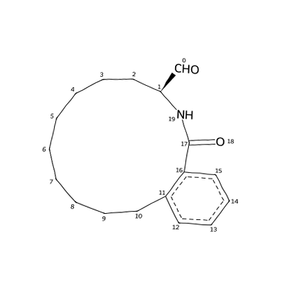 O=C[C@@H]1CCCCCCCCCc2ccccc2C(=O)N1